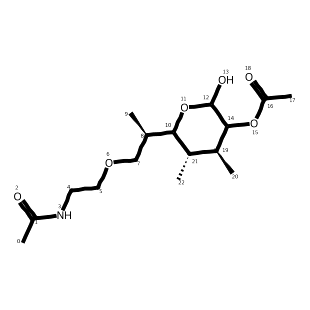 CC(=O)NCCOC[C@@H](C)C1OC(O)C(OC(C)=O)[C@@H](C)[C@@H]1C